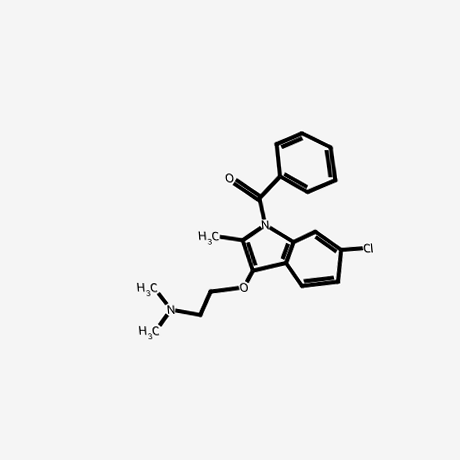 Cc1c(OCCN(C)C)c2ccc(Cl)cc2n1C(=O)c1ccccc1